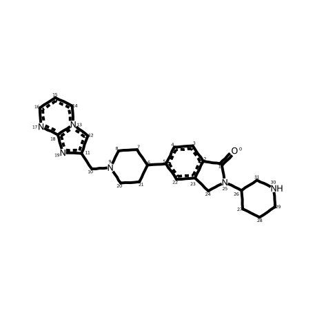 O=C1c2ccc(C3CCN(Cc4cn5cccnc5n4)CC3)cc2CN1C1CCCNC1